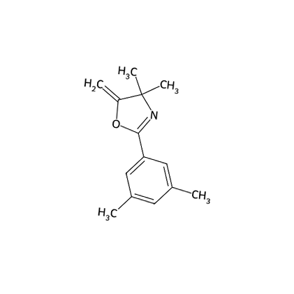 C=C1OC(c2cc(C)cc(C)c2)=NC1(C)C